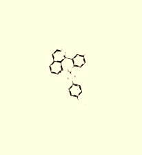 CC(C)(C)c1ccc(S(=O)(=O)Nc2ccc(Cl)cc2-c2nccc3ccccc23)cc1